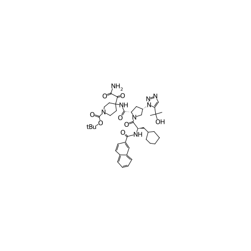 CC(C)(C)OC(=O)N1CCC(NC(=O)[C@@H]2C[C@H](n3nncc3C(C)(C)O)CN2C(=O)[C@@H](CC2CCCCC2)NC(=O)c2ccc3ccccc3c2)(C(=O)C(N)=O)CC1